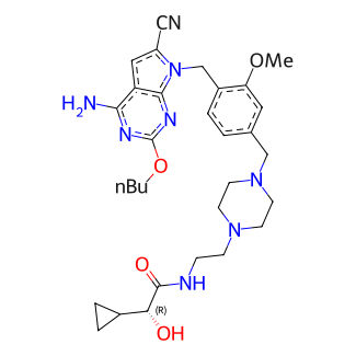 CCCCOc1nc(N)c2cc(C#N)n(Cc3ccc(CN4CCN(CCNC(=O)[C@H](O)C5CC5)CC4)cc3OC)c2n1